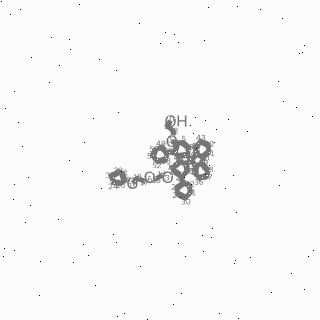 OCCOc1ccc(C2(c3ccc(OCCOCCOc4ccccc4)c(C4=CC=CCC4)c3)c3ccccc3-c3ccccc32)cc1-c1ccccc1